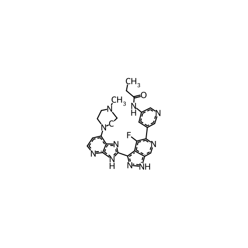 CCC(=O)Nc1cncc(-c2ncc3[nH]nc(-c4nc5c(N6CCN(C)CC6)ccnc5[nH]4)c3c2F)c1